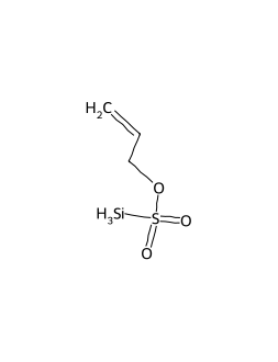 C=CCOS(=O)(=O)[SiH3]